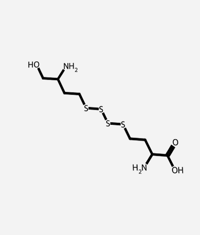 NC(CO)CCSSSSCCC(N)C(=O)O